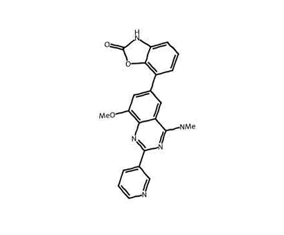 CNc1nc(-c2cccnc2)nc2c(OC)cc(-c3cccc4[nH]c(=O)oc34)cc12